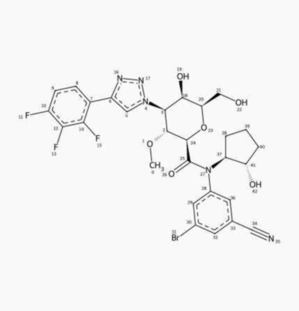 CO[C@@H]1[C@@H](n2cc(-c3ccc(F)c(F)c3F)nn2)[C@@H](O)[C@@H](CO)O[C@H]1C(=O)N(c1cc(Br)cc(C#N)c1)[C@H]1CCC[C@@H]1O